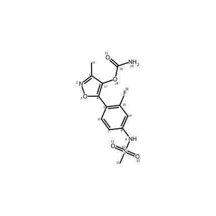 Cc1noc(-c2ccc(NS(C)(=O)=O)cc2F)c1OC(N)=O